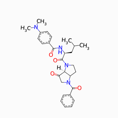 CC(C)C[C@H](NC(=O)c1ccc(N(C)C)cc1)C(=O)N1CCC2[C@H]1C(=O)CN2C(=O)c1ccccc1